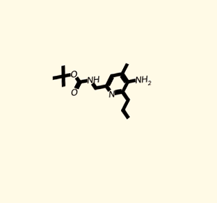 CCCc1nc(CNC(=O)OC(C)(C)C)cc(C)c1N